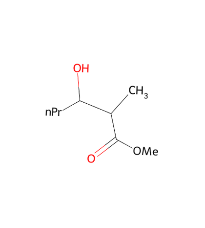 CCCC(O)C(C)C(=O)OC